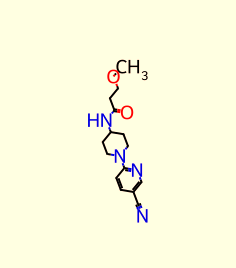 COCCC(=O)NC1CCN(c2ccc(C#N)cn2)CC1